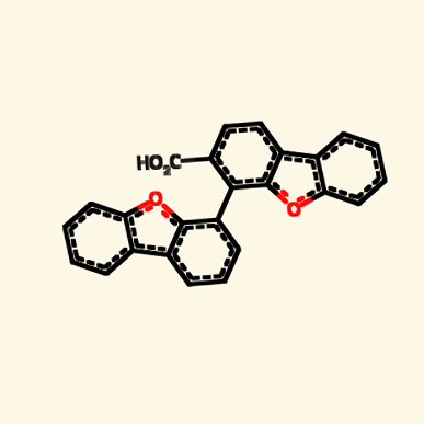 O=C(O)c1ccc2c(oc3ccccc32)c1-c1cccc2c1oc1ccccc12